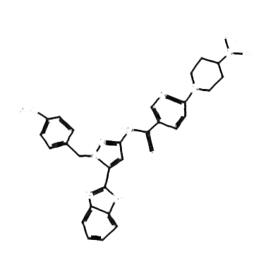 COc1ccc(Cn2nc(NC(=O)c3ccc(N4CCC(N(C)C(C)=O)CC4)nc3)cc2-c2nc3ccccc3[nH]2)cc1